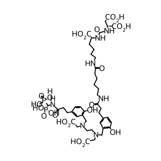 O=C(O)C[C@H](NC(=O)N[C@@H](CCCCNC(=O)CCCCCNC(=O)CCc1ccc(O)c(CN(CCN(CC(=O)O)Cc2cc(CCC(=O)NC(P(=O)(O)O)P(=O)(O)O)ccc2O)CC(=O)O)c1)C(=O)O)C(=O)O